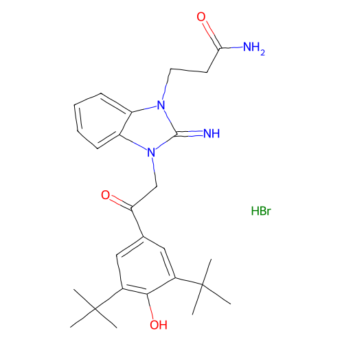 Br.CC(C)(C)c1cc(C(=O)Cn2c(=N)n(CCC(N)=O)c3ccccc32)cc(C(C)(C)C)c1O